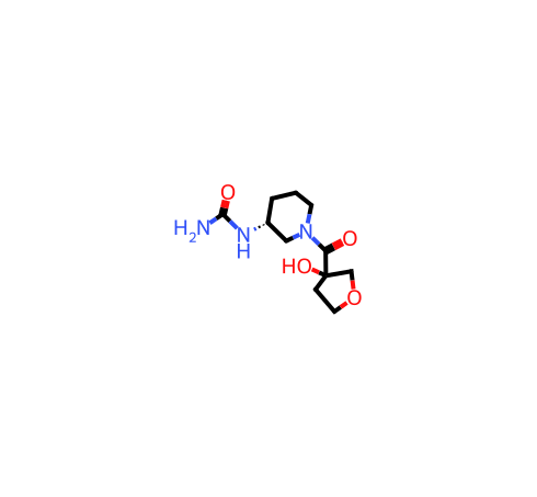 NC(=O)N[C@@H]1CCCN(C(=O)C2(O)CCOC2)C1